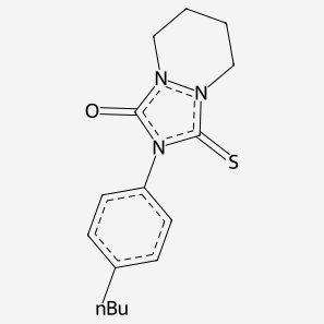 CCCCc1ccc(-n2c(=O)n3n(c2=S)CCCC3)cc1